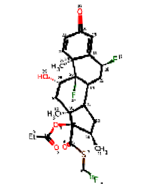 CCC(=O)O[C@]1(C(=O)SC[18F])[C@H](C)CC2C3C[C@H](F)C4=CC(=O)C=C[C@]4(C)[C@@]3(F)[C@@H](O)C[C@@]21C